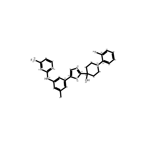 Cc1cc(Nc2nccc(C(F)(F)F)n2)cc(-c2cnc(C3(O)CCN(c4ccccc4F)CC3)s2)c1